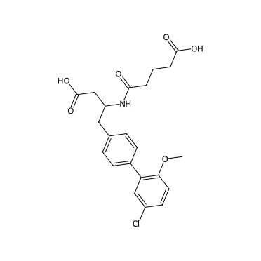 COc1ccc(Cl)cc1-c1ccc(CC(CC(=O)O)NC(=O)CCCC(=O)O)cc1